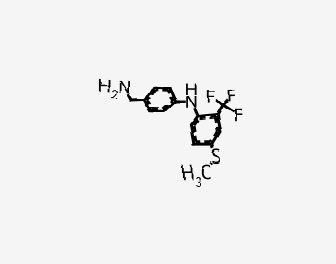 CSc1ccc(Nc2ccc(CN)cc2)c(C(F)(F)F)c1